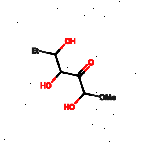 CCC(O)C(O)C(=O)C(O)OC